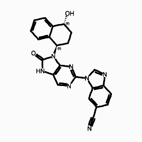 N#Cc1ccc2ncn(-c3ncc4[nH]c(=O)n([C@@H]5CC[C@@H](O)c6ccccc65)c4n3)c2c1